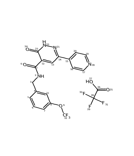 O=C(NCc1cccc(OC(F)(F)F)c1)c1cc(-c2ccncc2)n[nH]c1=O.O=C(O)C(F)(F)F